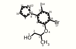 CC(CO)Oc1cc(-n2cccn2)c(I)cc1Br